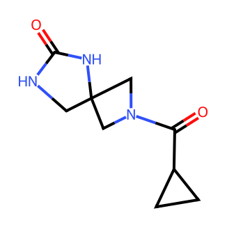 O=C1NCC2(CN(C(=O)C3CC3)C2)N1